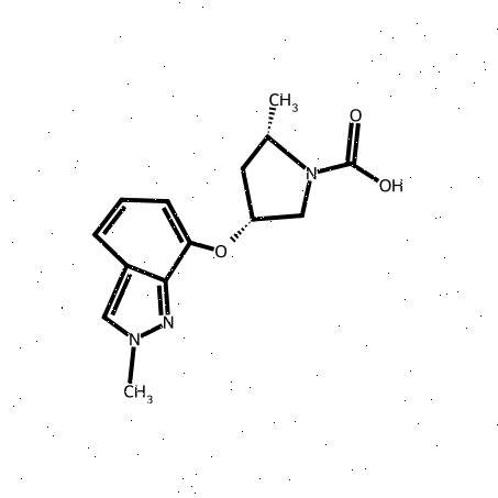 C[C@H]1C[C@@H](Oc2cccc3cn(C)nc23)CN1C(=O)O